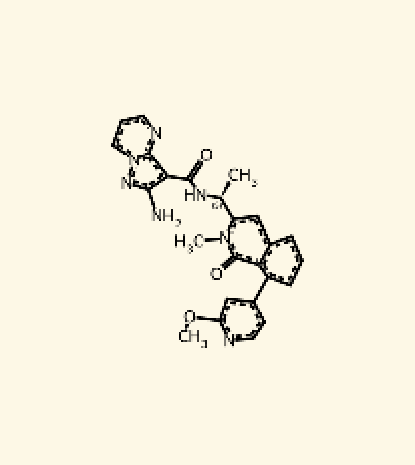 COc1cc(-c2cccc3cc([C@H](C)NC(=O)c4c(N)nn5cccnc45)n(C)c(=O)c23)ccn1